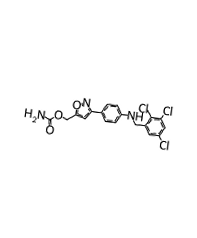 NC(=O)OCc1cc(-c2ccc(NCc3cc(Cl)cc(Cl)c3Cl)cc2)no1